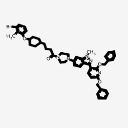 Cc1c(Br)cccc1OC1CCC(CCCC(=O)N2CCN(c3ccc4c(-c5ccc(OCc6ccccc6)nc5OCc5ccccc5)nn(C)c4c3)CC2)CC1